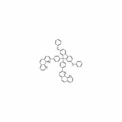 c1ccc(Sc2ccc3c(c2)C(c2ccc(-c4ccc5ccc6cccnc6c5n4)cc2)(c2ccc(-c4ccc5ccc6cccnc6c5n4)cc2)c2cc(Sc4ccccc4)ccc2-3)cc1